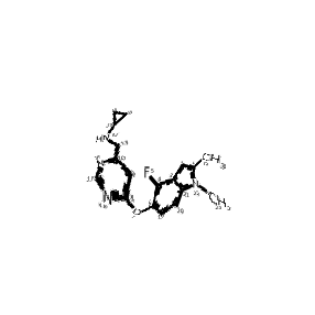 Cc1cc2c(F)c(Oc3cc(CNC4CC4)ncn3)ccc2n1C